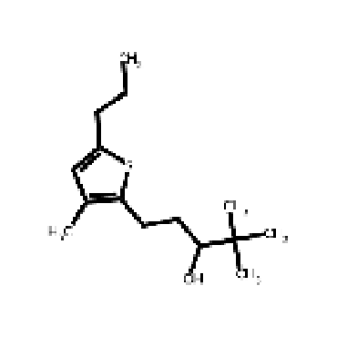 CCCc1cc(C)c(CCC(O)C(C)(C)C)s1